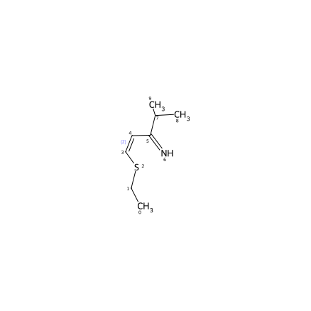 CCS/C=C\C(=N)C(C)C